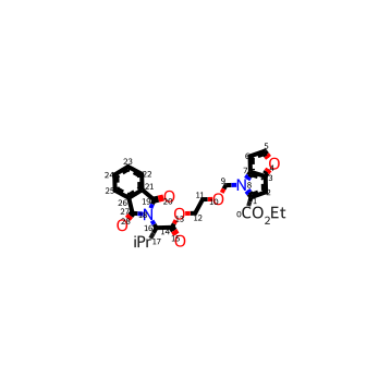 CCOC(=O)c1cc2occc2n1COCCOC(=O)C(C(C)C)N1C(=O)c2ccccc2C1=O